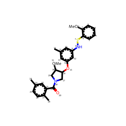 COc1ccccc1SNc1cc(C)cc(OC2CN(C(=O)c3cc(C)ccc3C)CC2OC)c1